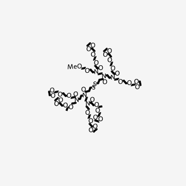 COCCOCCN(CCN(CCN(CCOCCOCC1OCCO1)C(=O)COCCOCC1OCCO1)C(=O)CCSSCCC(=O)N(CCN(CCOC(C)OCC1OCCO1)C(=O)COCCOCC1OCCO1)CCN(CCOCCOCC1OCCO1)C(=O)COC(C)OCC1OCCO1)C(=O)COCCOCC1OCCO1